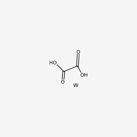 O=C(O)C(=O)O.[W]